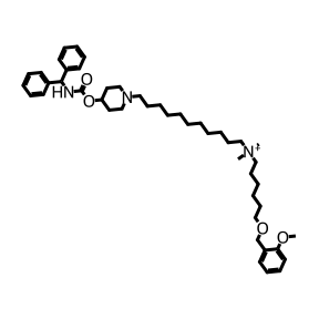 COc1ccccc1COCCCCCC[N+](C)(C)CCCCCCCCCCCN1CCC(OC(=O)NC(c2ccccc2)c2ccccc2)CC1